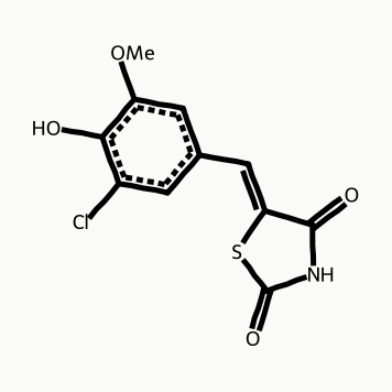 COc1cc(/C=C2\SC(=O)NC2=O)cc(Cl)c1O